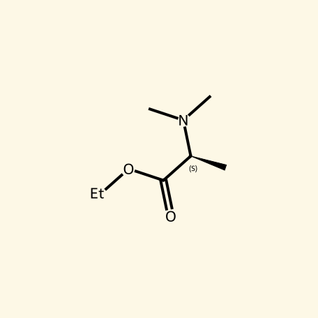 CCOC(=O)[C@H](C)N(C)C